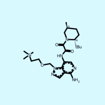 C[C@H]1CC[C@H](C(C)(C)C)N(C(=O)C(=O)Nc2cnc(N)c3cnn(COCC[Si](C)(C)C)c23)C1